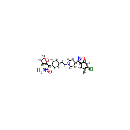 NC(=O)C(C1CCC(CCN2CCC(c3noc4cc(Cl)c(F)cc34)CC2)CC1)C1CCCO1